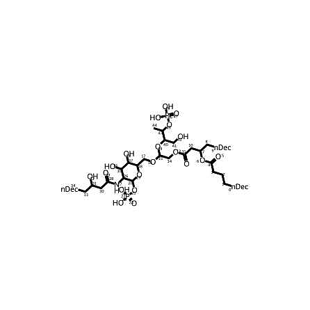 CCCCCCCCCCCCCC(=O)OC(CCCCCCCCCCC)CC(=O)OCC(OCC1OC(OP(=O)(O)O)C(NC(=O)CC(O)CCCCCCCCCCC)C(O)C1O)OC(CO)C(C)OP(=O)(O)O